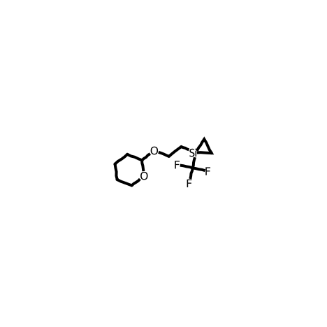 FC(F)(F)[Si]1(CCOC2CCCCO2)CC1